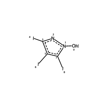 On1nc(I)c(I)c1I